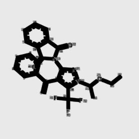 C=C(c1ccccc1)c1c(N2C(=O)c3ccccc3C2=O)nn(C(C)OCC)c1C(F)(F)F